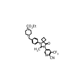 C=C1N(c2cnc(C#N)c(C(F)(F)F)c2)C(=O)C2(CCC2)N1c1ccc(CN2CCN(C(=O)OCC)CC2)cc1